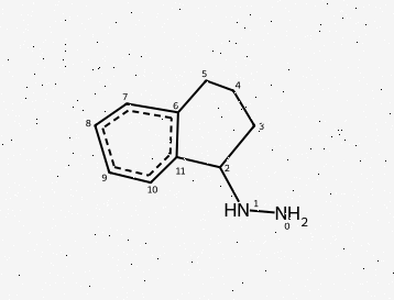 NNC1CCCc2ccccc21